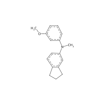 COc1cccc(N(C)c2ccc3c(c2)CCC3)c1